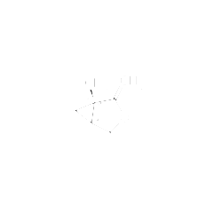 C=C1OCC2C[C@]12C